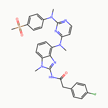 CN(c1ccc(S(C)(=O)=O)cc1)c1nccc(N(C)c2cccc3c2nc(NC(=O)Cc2ccc(F)cc2)n3C)n1